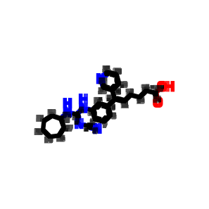 N#CN=C(Nc1cccc(C(=CCCCC(=O)O)c2cccnc2)c1)NC1CCCCCC1